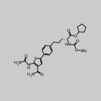 CC(C)(C)OC(=O)N[C@H](CCCc1ccc(-c2cc(C(N)=O)c(NC(N)=O)s2)cc1)C(=O)OC1CCCC1